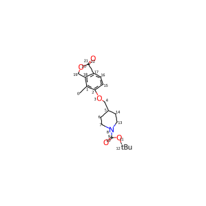 Cc1c(OCC2CCN(C(=O)OC(C)(C)C)CC2)ccc2c1COC2=O